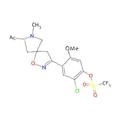 COc1cc(OS(=O)(=O)C(F)(F)F)c(Cl)cc1C1=NOC2(C1)CC(C(C)=O)N(C)C2